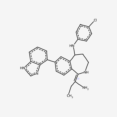 CC/C(N)=C1/NCCC(Nc2ccc(Cl)cc2)c2cc(-c3cccc4[nH]cnc34)ccc21